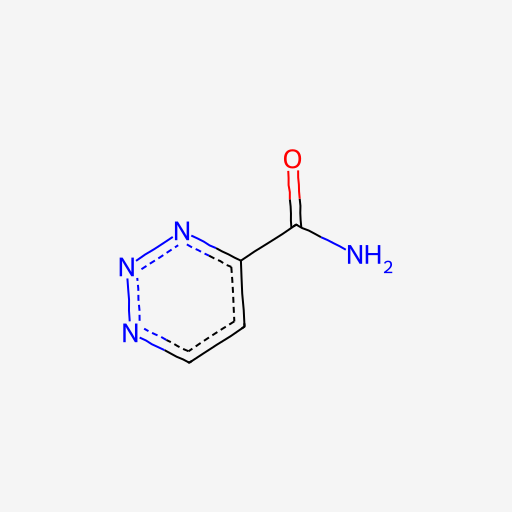 NC(=O)c1ccnnn1